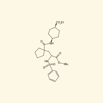 CCOC(=O)[C@H]1CC[C@@H](NC(=O)C2(CC(NS(=O)(=O)c3ccccc3)C(=O)OC(C)(C)C)CCCC2)CC1